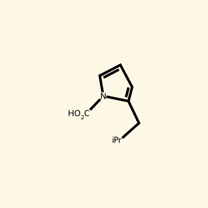 CC(C)Cc1cccn1C(=O)O